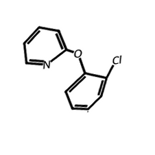 Clc1c[c]ccc1Oc1ccccn1